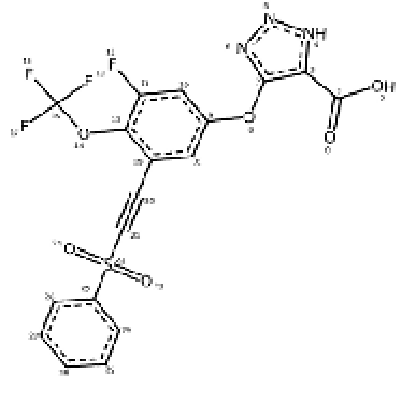 O=C(O)c1[nH]nnc1Oc1cc(F)c(OC(F)(F)F)c(C#CS(=O)(=O)c2ccccc2)c1